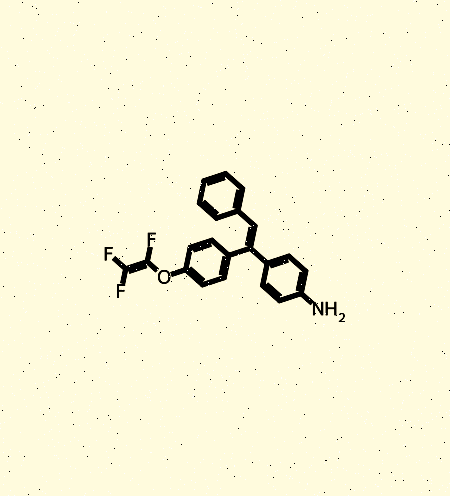 Nc1ccc(C(=Cc2ccccc2)c2ccc(OC(F)=C(F)F)cc2)cc1